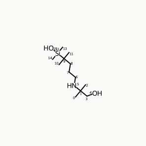 CC(C)(CO)NCCCC(C)(C)[Si](C)(C)O